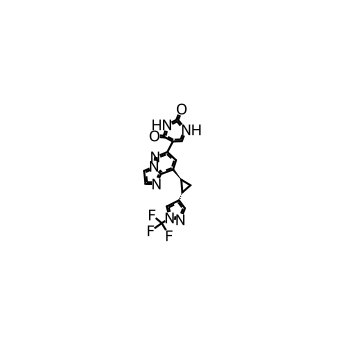 O=c1[nH]cc(-c2cc([C@H]3C[C@@H]3c3cnn(C(F)(F)F)c3)c3nccn3n2)c(=O)[nH]1